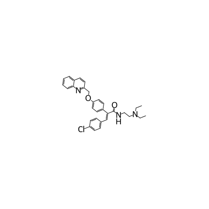 CCN(CC)CCNC(=O)/C(=C/c1ccc(Cl)cc1)c1ccc(OCc2ccc3ccccc3n2)cc1